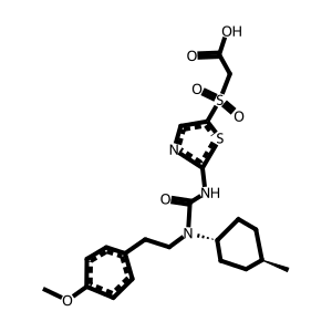 COc1ccc(CCN(C(=O)Nc2ncc(S(=O)(=O)CC(=O)O)s2)[C@H]2CC[C@H](C)CC2)cc1